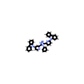 c1ccc(-n2c(-c3cc(-n4c5ccccc5c5ccccc54)ccn3)nnc2-c2cccc(-n3c4ccccc4c4ccccc43)n2)cc1